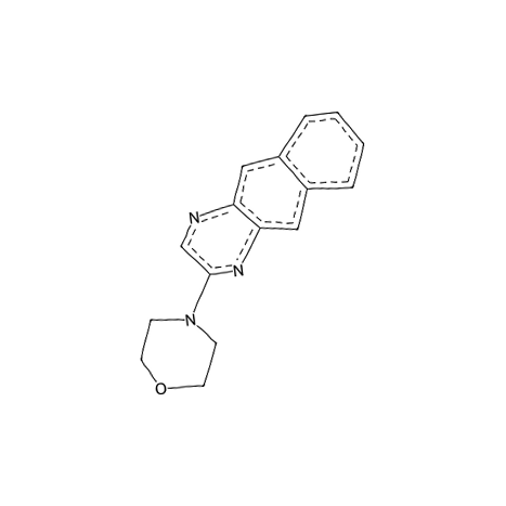 c1ccc2cc3nc(N4CCOCC4)cnc3cc2c1